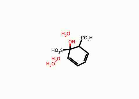 O.O.O.O=C(O)C1C=CC=CC1(O)S(=O)(=O)O